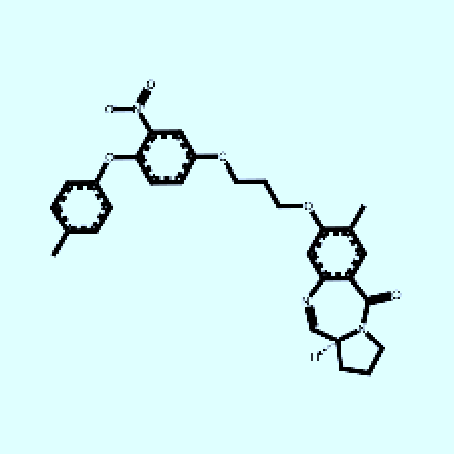 Cc1ccc(Oc2ccc(OCCCOc3cc4c(cc3C)C(=O)N3CCC[C@H]3C=N4)cc2[N+](=O)[O-])cc1